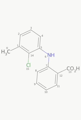 Cc1cccc(Nc2ccccc2C(=O)O)c1Cl